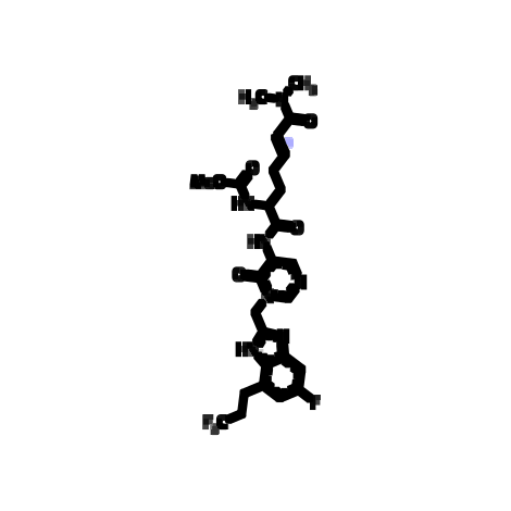 COC(=O)NC(CC/C=C/C(=O)N(C)C)C(=O)Nc1cncn(Cc2nc3cc(F)cc(CCC(F)(F)F)c3[nH]2)c1=O